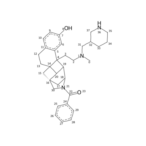 CN(CCC12c3cc(O)ccc3CCC13C[C@@]14CC(C2C31)N(C(=O)c1ccccc1)C4)CC1CCCNC1